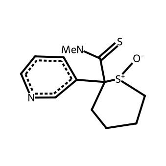 CNC(=S)C1(c2cccnc2)CCCC[S+]1[O-]